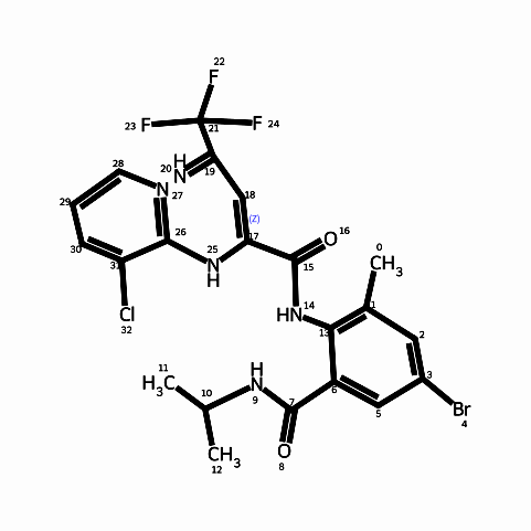 Cc1cc(Br)cc(C(=O)NC(C)C)c1NC(=O)/C(=C/C(=N)C(F)(F)F)Nc1ncccc1Cl